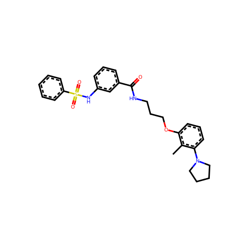 Cc1c(OCCCNC(=O)c2cccc(NS(=O)(=O)c3ccccc3)c2)cccc1N1CCCC1